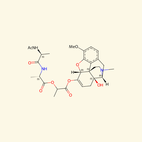 COc1ccc2c3c1O[C@H]1C(OC(=O)C(C)OC(=O)[C@H](C)NC(=O)[C@H](C)NC(C)=O)=CC[C@@]4(O)[C@@H](C2)N(C)CC[C@]314